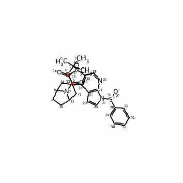 CC(C)(C)OC(=O)N1C2CCC1CC1(C2)C(=O)Nc2cnc3c(ccn3[S+]([O-])c3ccccc3)c21